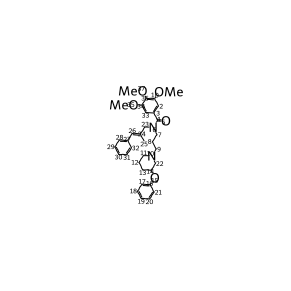 COc1cc(C(=O)N(CCCN2CCCC(Oc3ccccc3)C2)C/C(C)=C/c2ccccc2)cc(OC)c1OC